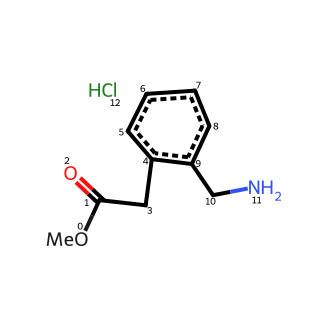 COC(=O)Cc1ccccc1CN.Cl